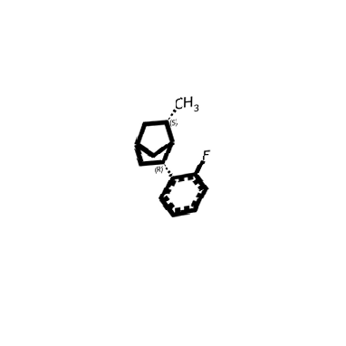 C[C@H]1CC2CC1[C@H](c1ccccc1F)C2